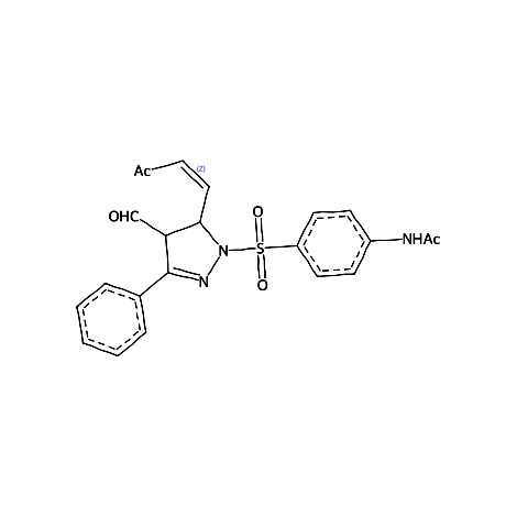 CC(=O)/C=C\C1C(C=O)C(c2ccccc2)=NN1S(=O)(=O)c1ccc(NC(C)=O)cc1